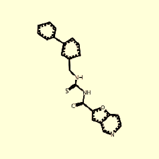 O=C(NC(=S)NCc1cccc(-c2ccccc2)c1)c1cc2cnccc2o1